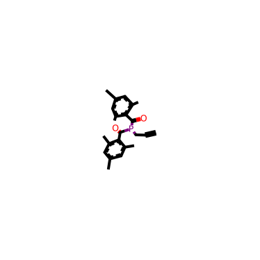 C#CCP(C(=O)c1c(C)cc(C)cc1C)C(=O)c1c(C)cc(C)cc1C